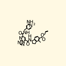 C=CCOC(=O)c1ccc2c(c1C)CC[C@@H]2NC(=O)c1cc(C(=O)NCc2ccnc(N)c2)nc2ncnn12